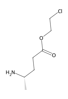 C[C@H](N)CCC(=O)OCCCl